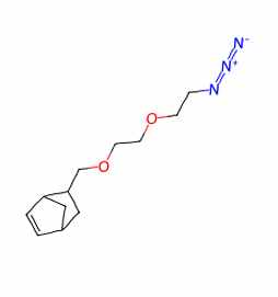 [N-]=[N+]=NCCOCCOCC1CC2C=CC1C2